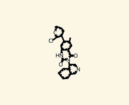 Cc1cc2c(=O)n(-c3cncc4ccccc34)c(=O)[nH]c2cc1-c1ccccc1Cl